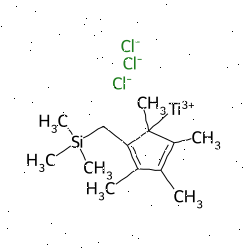 CC1=C(C)[C](C)([Ti+3])C(C[Si](C)(C)C)=C1C.[Cl-].[Cl-].[Cl-]